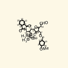 COc1ccc(COCC2[C@@H](C)C(CC(CN3C(=O)c4ccccc4C3=O)O[Si](C)(C)C(C)(C)C)O[C@H]2CC=O)cc1